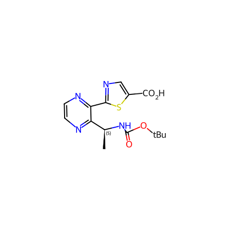 C[C@H](NC(=O)OC(C)(C)C)c1nccnc1-c1ncc(C(=O)O)s1